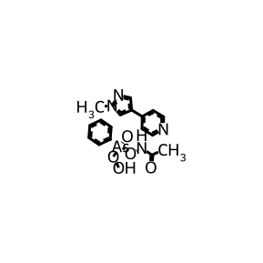 CC(=O)NO[As](=O)(OO)c1ccccc1.Cn1cc(-c2ccncc2)cn1